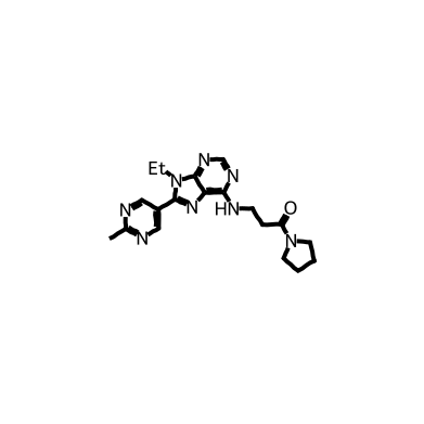 CCn1c(-c2cnc(C)nc2)nc2c(NCCC(=O)N3CCCC3)ncnc21